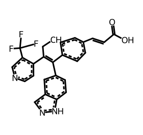 CCC(=C(c1ccc(C=CC(=O)O)cc1)c1ccc2[nH]ncc2c1)c1ccncc1C(F)(F)F